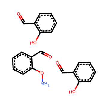 NOc1ccccc1C=O.O=Cc1ccccc1O.O=Cc1ccccc1O